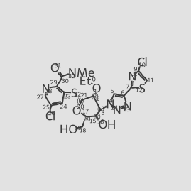 CCO[C@@H]1[C@@H](n2cc(-c3nc(Cl)cs3)nn2)[C@@H](O)[C@@H](CO)O[C@@H]1Sc1cc(Cl)cnc1C(=O)NC